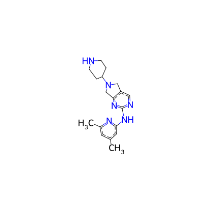 Cc1cc(C)nc(Nc2ncc3c(n2)CN(C2CCNCC2)C3)c1